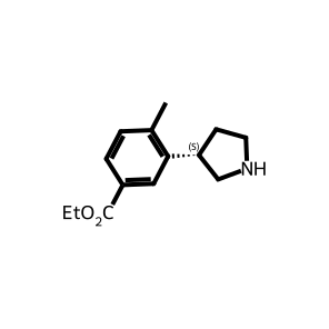 CCOC(=O)c1ccc(C)c([C@@H]2CCNC2)c1